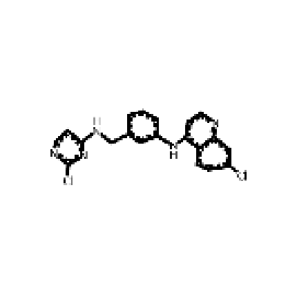 Clc1ccc2c(Nc3cccc(CNc4ccnc(Cl)n4)c3)ccnc2c1